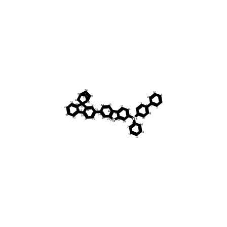 c1ccc(-c2ccc(N(c3ccccc3)c3ccc4c(c3)sc3cc(-c5ccc6c(c5)C5(CC7CCC5C7)c5ccccc5-6)ccc34)cc2)cc1